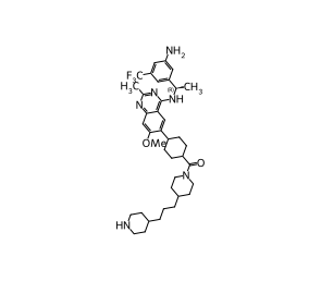 COc1cc2nc(C)nc(N[C@H](C)c3cc(N)cc(C(F)(F)F)c3)c2cc1C1CCC(C(=O)N2CCC(CCCC3CCNCC3)CC2)CC1